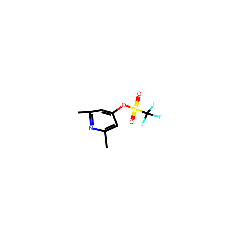 Cc1cc(OS(=O)(=O)C(F)(F)F)cc(C)n1